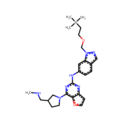 CNCC1CCN(c2nc(Nc3ccc4cnn(COCC[Si](C)(C)C)c4c3)nc3ccoc23)C1